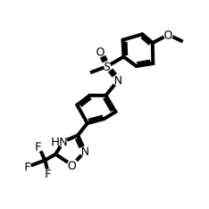 COc1ccc(S(C)(=O)=Nc2ccc(C3=NOC(C(F)(F)F)N3)cc2)cc1